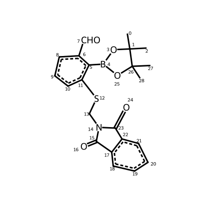 CC1(C)OB(c2c(C=O)cccc2SCN2C(=O)c3ccccc3C2=O)OC1(C)C